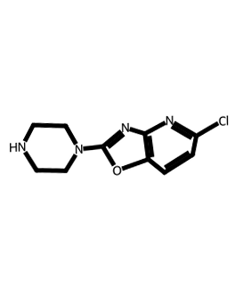 Clc1ccc2oc(N3CCNCC3)nc2n1